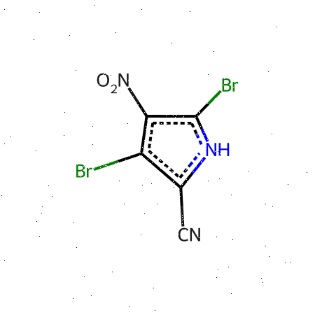 N#Cc1[nH]c(Br)c([N+](=O)[O-])c1Br